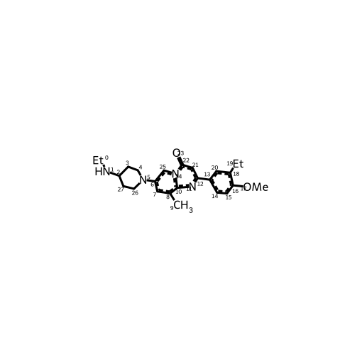 CCNC1CCN(c2cc(C)c3nc(-c4ccc(OC)c(CC)c4)cc(=O)n3c2)CC1